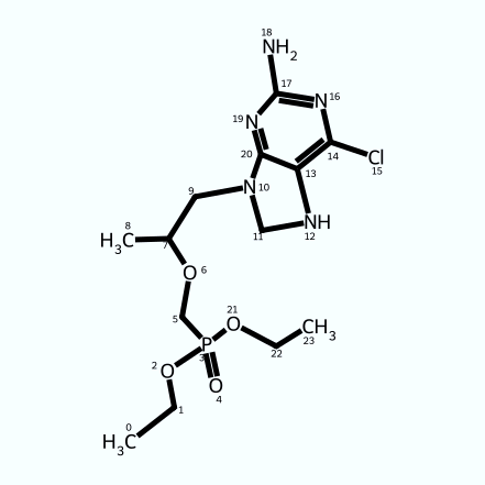 CCOP(=O)(COC(C)CN1CNc2c(Cl)nc(N)nc21)OCC